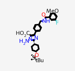 COc1ccc(F)cc1C(=O)NCc1ccc(-c2nc([C@H]3CC[C@@H](O[Si](C)(C)C(C)(C)C)CC3)n(N)c2C(=O)O)cc1